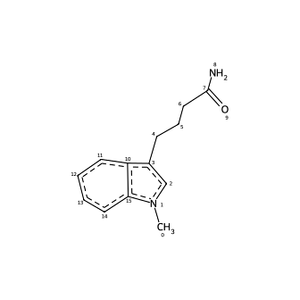 Cn1cc(CCCC(N)=O)c2ccccc21